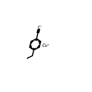 [C-]#Cc1ccc(CC)cc1.[Cu+]